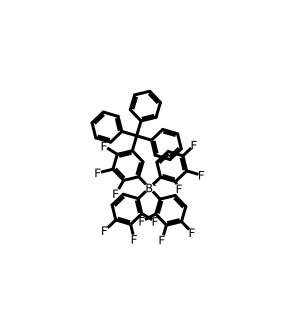 Fc1ccc([B-](c2ccc(F)c(F)c2F)(c2ccc(F)c(F)c2F)c2cc(C(c3ccccc3)(c3ccccc3)c3ccccc3)c(F)c(F)c2F)c(F)c1F